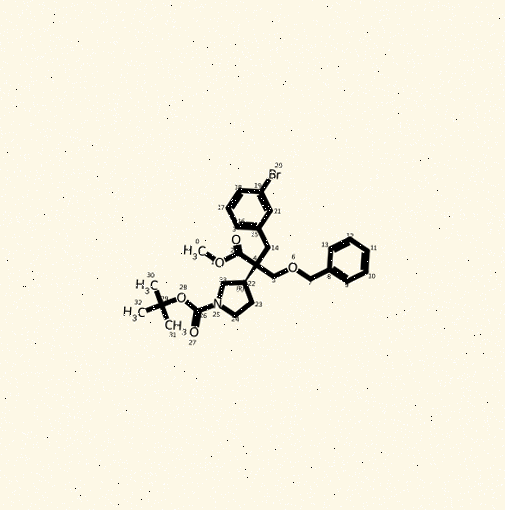 COC(=O)C(COCc1ccccc1)(Cc1cccc(Br)c1)[C@H]1CCN(C(=O)OC(C)(C)C)C1